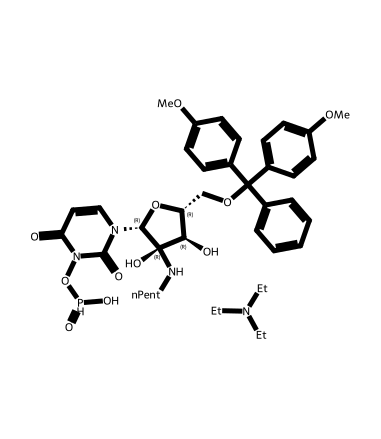 CCCCCN[C@@]1(O)[C@H](O)[C@@H](COC(c2ccccc2)(c2ccc(OC)cc2)c2ccc(OC)cc2)O[C@H]1n1ccc(=O)n(O[PH](=O)O)c1=O.CCN(CC)CC